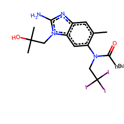 CCCCC(=O)N(CC(I)(I)I)c1cc2c(cc1C)nc(N)n2CC(C)(C)O